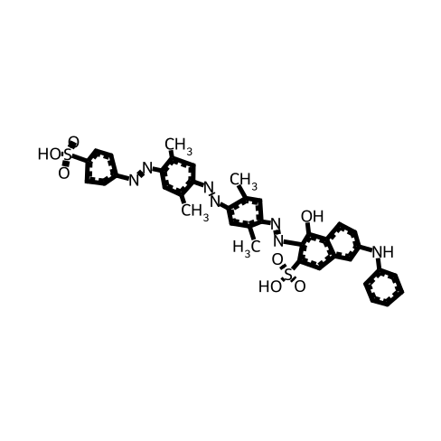 Cc1cc(N=Nc2cc(C)c(N=Nc3c(S(=O)(=O)O)cc4cc(Nc5ccccc5)ccc4c3O)cc2C)c(C)cc1N=Nc1ccc(S(=O)(=O)O)cc1